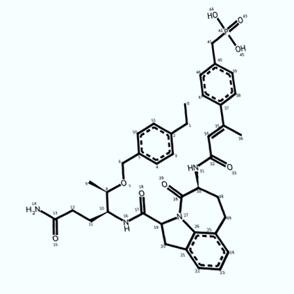 CCc1ccc(CO[C@H](C)[C@H](CCC(N)=O)NC(=O)C2Cc3cccc4c3N2C(=O)[C@@H](NC(=O)/C=C(\C)c2ccc(CP(=O)(O)O)cc2)CC4)cc1